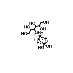 O=P(O)(O)O.O=P(O)(O)O.OCC(O)C(O)C(O)C(O)CO